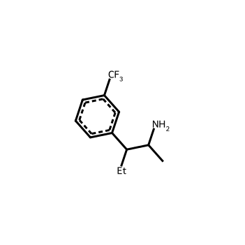 CCC(c1cccc(C(F)(F)F)c1)C(C)N